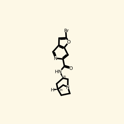 O=C(N[C@@H]1C[C@H]2CCN(C2)C1)c1cc2oc(Br)cc2cn1